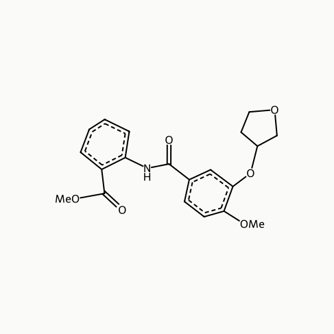 COC(=O)c1ccccc1NC(=O)c1ccc(OC)c(OC2CCOC2)c1